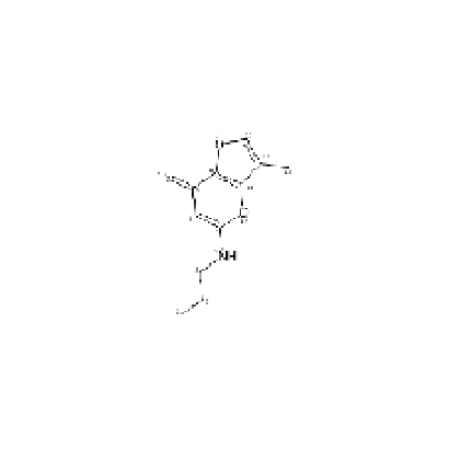 CCCNc1cc(=S)c2occ(C)c2o1